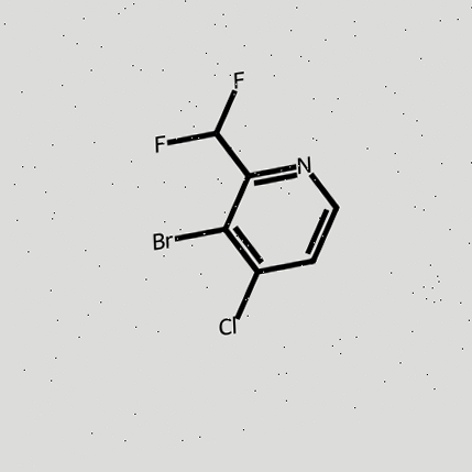 FC(F)c1nccc(Cl)c1Br